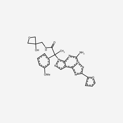 COc1cccc(C(C)(C(=O)NCC2(O)COC2)n2ncc3c2nc(N)n2nc(-c4ccco4)nc32)c1